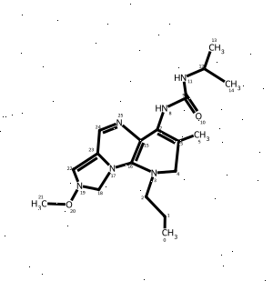 CCCN1CC(C)=C(NC(=O)NC(C)C)C2=C1N1CN(OC)C=C1C=N2